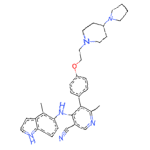 Cc1ncc(C#N)c(Nc2ccc3[nH]ccc3c2C)c1-c1ccc(OCCN2CCC(N3CCCC3)CC2)cc1